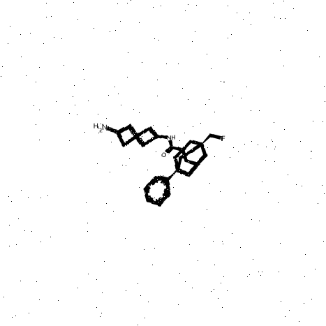 NC1CC2(C1)CC(NC(=O)C13CC4C[C@@](CF)(C1)C[C@](c1ccccc1)(C4)C3)C2